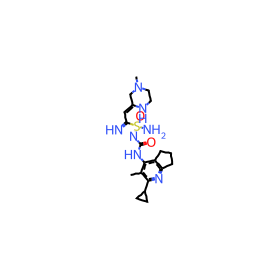 Cc1c(C2CC2)nc2c(c1NC(=O)N=S(N)(=O)C(=N)/C=C1/CN(C)CCN1)CCC2